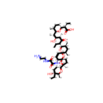 CCC(C(=O)[C@@H](C)[C@@H](O)[C@H](C)[C@@H]1O[C@@H]([C@@H](CC)C(=O)O)CC[C@@H]1C)[C@H]1O[C@]2(C=C[C@@H](NC(=O)C(=O)NCCN)[C@]3(CC[C@@](C)([C@H]4CC[C@](O)(CC)[C@H](C)O4)O3)O2)[C@H](C)C[C@@H]1C